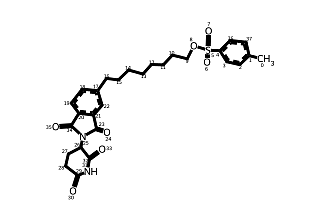 Cc1ccc(S(=O)(=O)OCCCCCCCCc2ccc3c(c2)C(=O)N(C2CCC(=O)NC2=O)C3=O)cc1